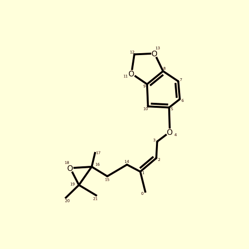 CC(=CCOc1ccc2c(c1)OCO2)CCC1(C)OC1(C)C